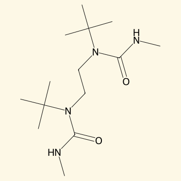 CNC(=O)N(CCN(C(=O)NC)C(C)(C)C)C(C)(C)C